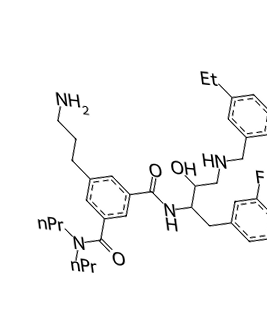 CCCN(CCC)C(=O)c1cc(CCCN)cc(C(=O)NC(Cc2cc(F)cc(F)c2)C(O)CNCc2cccc(CC)c2)c1